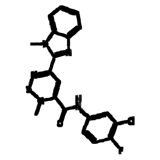 CN1SN=C(c2nc3ccccc3n2C)C=C1C(=O)Nc1ccc(F)c(Cl)c1